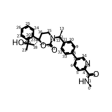 CNC(=O)c1ccc(-c2ccc([C@H](C)N3CC[C@](CC(C)(C)O)(c4ccccc4)OC3=O)cc2)cn1